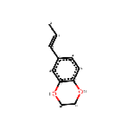 [CH2]C=Cc1ccc2c(c1)OCCO2